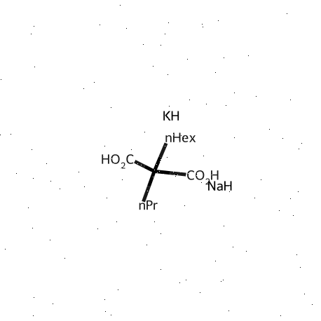 CCCCCCC(CCC)(C(=O)O)C(=O)O.[KH].[NaH]